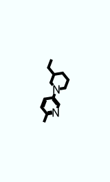 CCC1CCCN(c2ccc(C)nc2)C1